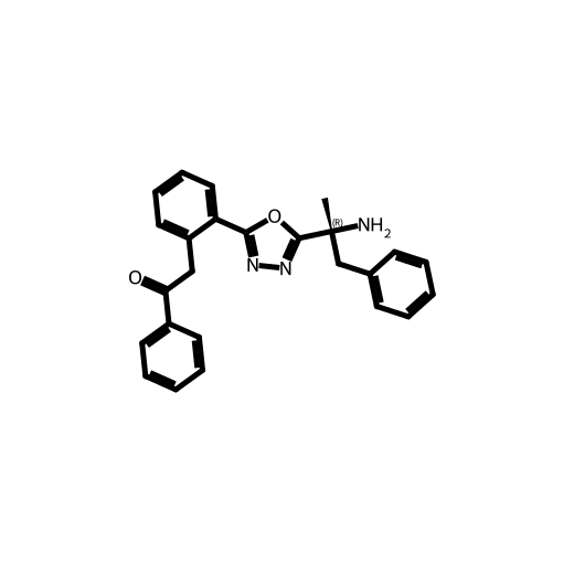 C[C@@](N)(Cc1ccccc1)c1nnc(-c2ccccc2CC(=O)c2ccccc2)o1